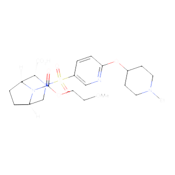 CCN1CCC(Oc2ccc(S(=O)(=O)N3C[C@H]4CC[C@@H]([C@@H]3C(=O)O)N4C(=O)OCCOC)cn2)CC1